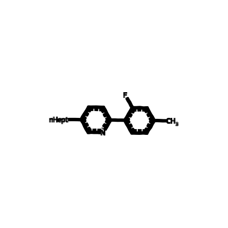 CCCCCCCc1ccc(-c2ccc(C)cc2F)nc1